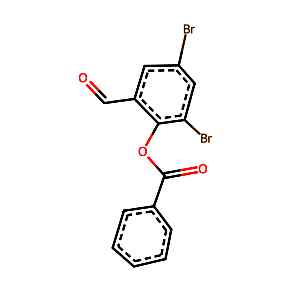 O=Cc1cc(Br)cc(Br)c1OC(=O)c1ccccc1